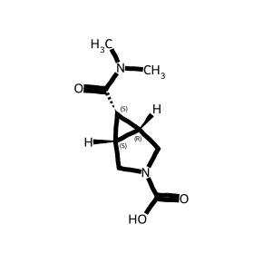 CN(C)C(=O)[C@@H]1[C@@H]2CN(C(=O)O)C[C@@H]21